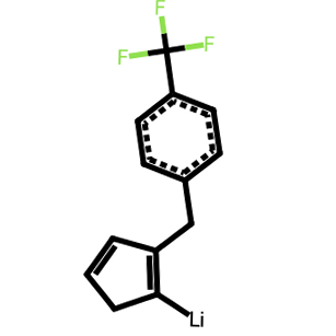 [Li][C]1=C(Cc2ccc(C(F)(F)F)cc2)C=CC1